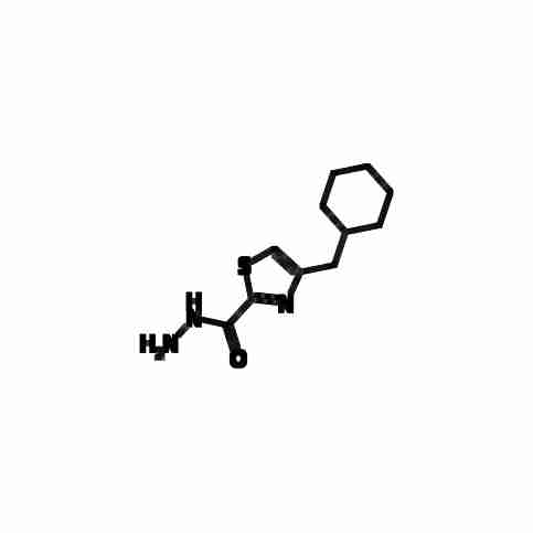 NNC(=O)c1nc(CC2CCCCC2)cs1